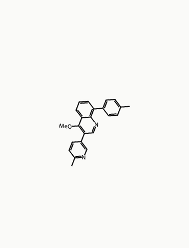 COc1c(-c2ccc(C)nc2)cnc2c(-c3ccc(C)cc3)cccc12